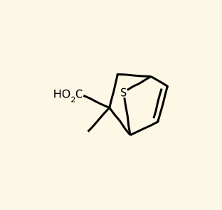 CC1(C(=O)O)CC2C=CC1S2